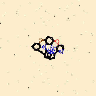 c1cc[n+]2c(c1)-c1nccc3c1[N+]21c2c(ccc4c2-n2c5c(cccc5c5ccc[n+]1c52)S4)O3